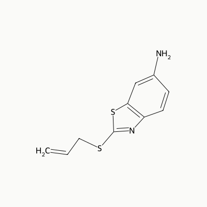 C=CCSc1nc2ccc(N)cc2s1